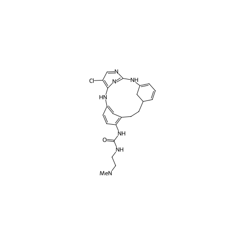 CNCCNC(=O)Nc1ccc2cc1CCC1C=CC=C(C1)Nc1ncc(Cl)c(n1)N2